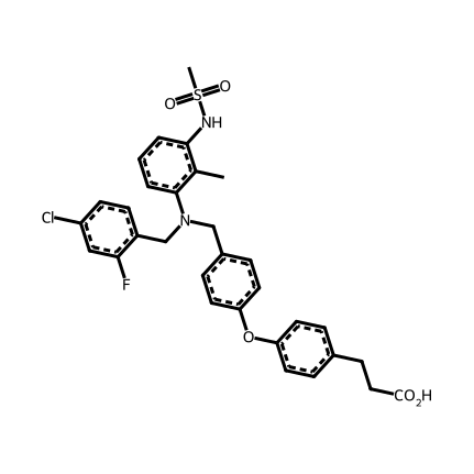 Cc1c(NS(C)(=O)=O)cccc1N(Cc1ccc(Oc2ccc(CCC(=O)O)cc2)cc1)Cc1ccc(Cl)cc1F